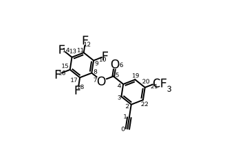 C#Cc1cc(C(=O)Oc2c(F)c(F)c(F)c(F)c2F)cc(C(F)(F)F)c1